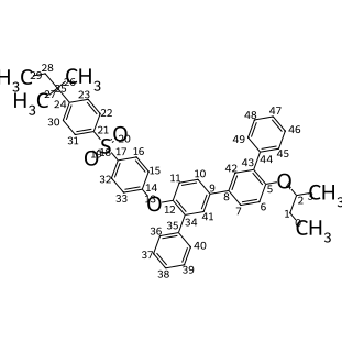 CCC(C)Oc1ccc(-c2ccc(Oc3ccc(S(=O)(=O)c4ccc(C(C)(C)CC)cc4)cc3)c(-c3ccccc3)c2)cc1-c1ccccc1